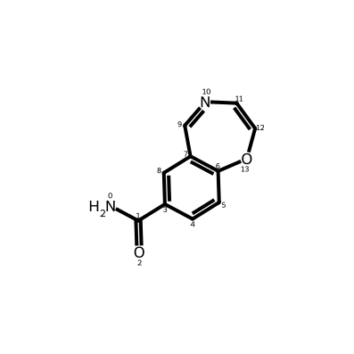 NC(=O)c1ccc2c(c1)C=NC=CO2